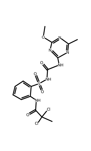 COc1nc(C)nc(NC(=O)NS(=O)(=O)c2ccccc2NC(=O)C(C)(Cl)Cl)n1